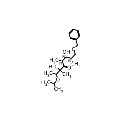 CC(C)OC(C)C(C)(C)C(=O)[C@@H](C)[C@H](O)[C@@H](C)COCc1ccccc1